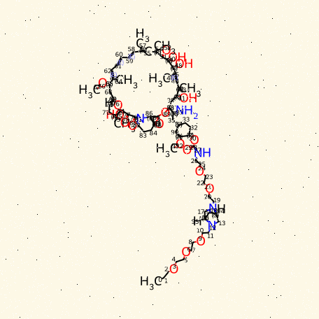 CCCOCCOCCOCCN1C[C@@H]2C[C@H]1CN2CCOCCOCCNC(=O)O[C@@H]1CC[C@@H](C[C@@H](N)[C@@H]2C[C@@H](O)[C@H](C)/C=C(\C)[C@@H](O)[C@@H](O)C(=O)[C@H](C)C[C@H](C)/C=C/C=C/C=C(\C)[C@@H](OC)C[C@@H]3CC[C@@H](C)[C@@](O)(O3)C(=O)C(=O)N3CCCC[C@H]3C(=O)O2)C[C@H]1OC